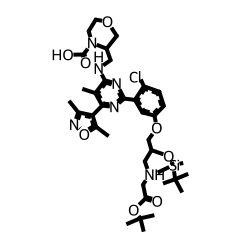 Cc1noc(C)c1-c1nc(-c2cc(OCC(CNCC(=O)OC(C)(C)C)O[Si](C)(C)C(C)(C)C)ccc2Cl)nc(NCC2COCCN2C(=O)O)c1C